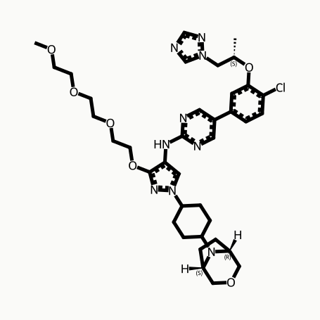 COCCOCCOCCOc1nn(C2CCC(N3[C@@H]4CC[C@H]3COC4)CC2)cc1Nc1ncc(-c2ccc(Cl)c(O[C@@H](C)Cn3cncn3)c2)cn1